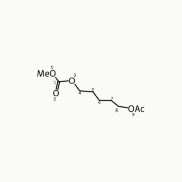 COC(=O)OCCCCCOC(C)=O